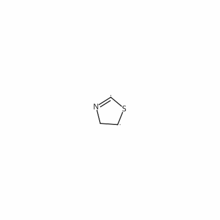 [C]1=NC[CH]S1